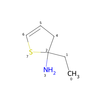 CCC1(N)CC=CS1